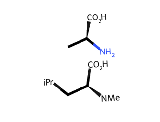 CN[C@@H](CC(C)C)C(=O)O.C[C@H](N)C(=O)O